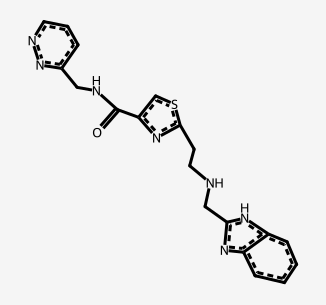 O=C(NCc1cccnn1)c1csc(CCNCc2nc3ccccc3[nH]2)n1